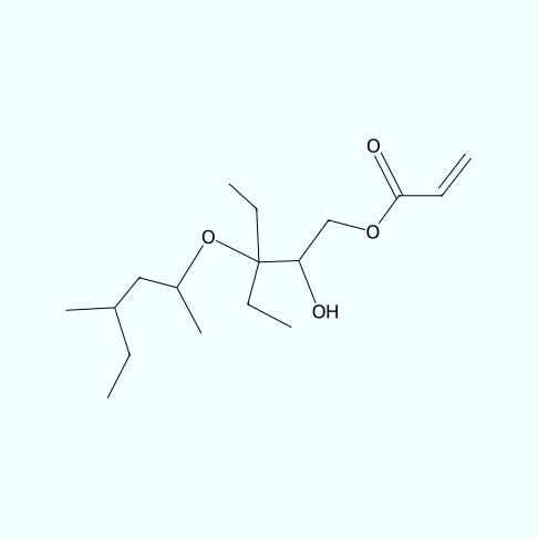 C=CC(=O)OCC(O)C(CC)(CC)OC(C)CC(C)CC